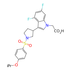 CC(C)Oc1ccc(S(=O)(=O)N2CCC(c3cn(CC(=O)O)c4cc(F)cc(F)c34)C2)cc1